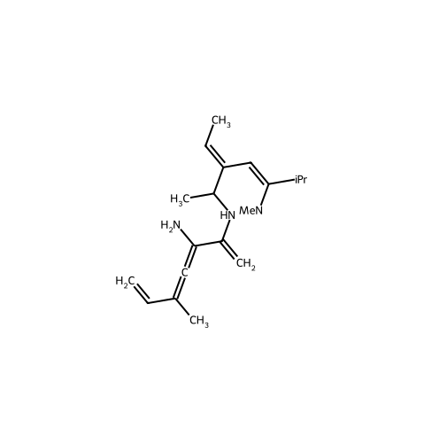 C=CC(C)=C=C(N)C(=C)NC(C)C(/C=C(\NC)C(C)C)=C/C